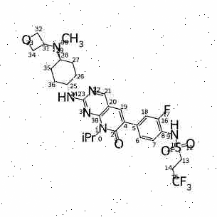 CC(C)n1c(=O)c(-c2ccc(NS(=O)(=O)CCC(F)(F)F)c(F)c2)cc2cnc(N[C@H]3CC[C@H](N(C)C4COC4)CC3)nc21